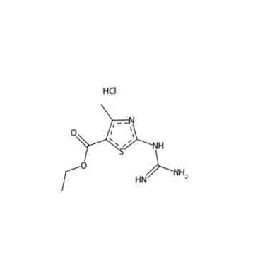 CCOC(=O)c1sc(NC(=N)N)nc1C.Cl